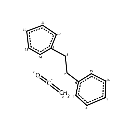 C=C=O.c1ccc(CCc2ccccc2)cc1